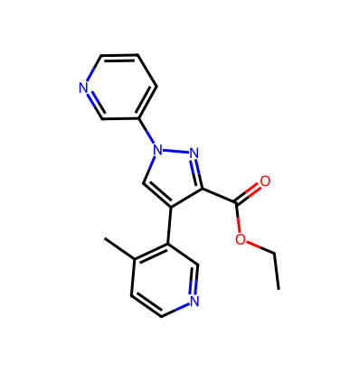 CCOC(=O)c1nn(-c2cccnc2)cc1-c1cnccc1C